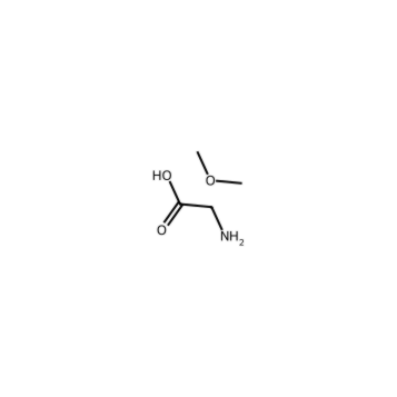 COC.NCC(=O)O